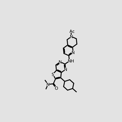 CC(=O)N1CCc2nc(Nc3ncc4sc(C(=O)N(C)C)c(C5CCC(C)CC5)c4n3)ccc2C1